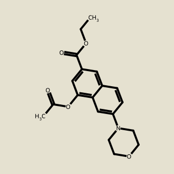 CCOC(=O)c1cc(OC(C)=O)c2cc(N3CCOCC3)ccc2c1